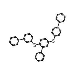 c1ccc(-c2ccc(Sc3ccc(Sc4cccc(-c5ccccc5)c4)c(-c4ccccc4)c3)cc2)cc1